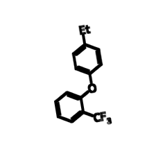 CCc1ccc(Oc2ccccc2C(F)(F)F)cc1